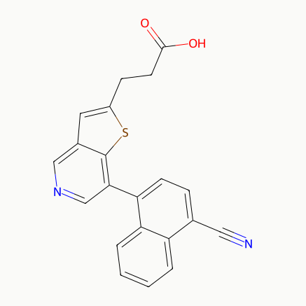 N#Cc1ccc(-c2cncc3cc(CCC(=O)O)sc23)c2ccccc12